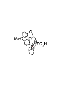 COc1ccc(C(=O)N2C3CCC2CC(CN(CC2COc4ccccc4O2)C(=O)O)C3)cc1